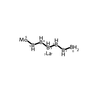 BBBBB[BH][Mo].[La]